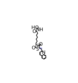 O=C(CCCCCCN1C(=O)S/C(=C\c2ccc3ccccc3n2)C1=O)NO